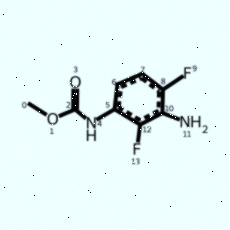 COC(=O)Nc1ccc(F)c(N)c1F